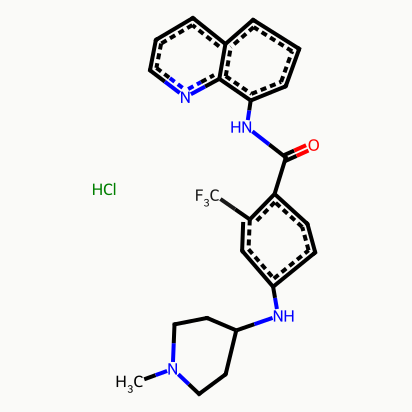 CN1CCC(Nc2ccc(C(=O)Nc3cccc4cccnc34)c(C(F)(F)F)c2)CC1.Cl